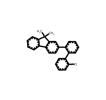 CC1(C)c2ccccc2-c2ccc(-c3ccccc3-c3ccccc3Cl)cc21